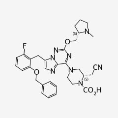 CN1CCC[C@H]1COc1nc(N2CCN(C(=O)O)[C@@H](CC#N)C2)c2ncc(Cc3c(F)cccc3OCc3ccccc3)n2n1